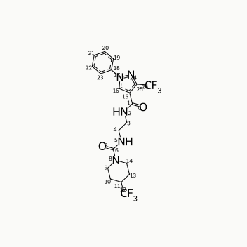 O=C(NCCNC(=O)N1CCC(C(F)(F)F)CC1)c1cn(-c2ccccc2)nc1C(F)(F)F